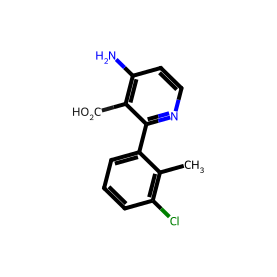 Cc1c(Cl)cccc1-c1nccc(N)c1C(=O)O